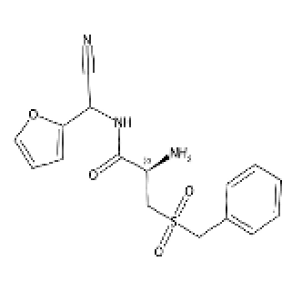 N#CC(NC(=O)[C@@H](N)CS(=O)(=O)Cc1ccccc1)c1ccco1